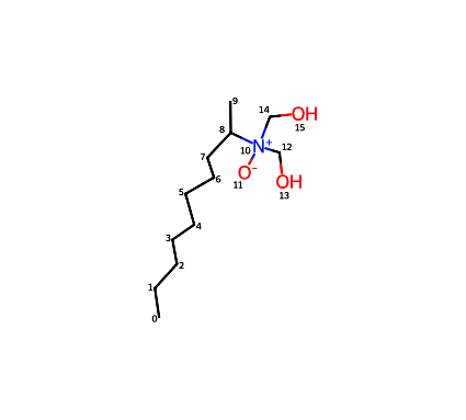 CCCCCCCCC(C)[N+]([O-])(CO)CO